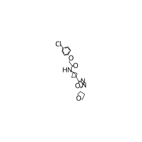 O=C(COc1ccc(Cl)cc1)NC12CC(c3nnc([C@@H]4CCOC4)o3)(C1)C2